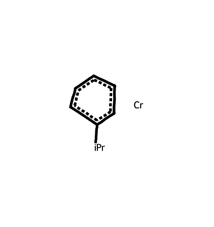 CC(C)c1ccccc1.[Cr]